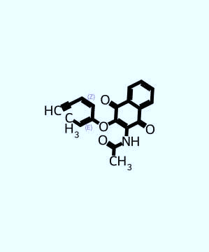 C#C/C=C\C(=C/C)OC1=C(NC(C)=O)C(=O)c2ccccc2C1=O